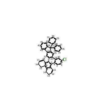 Clc1ccc(-c2cc3c(c4c2C=CCC4)CCC=C3)c(-c2ccc3c(c2)C(c2ccccc2)(c2ccccc2)c2ccccc2-3)c1